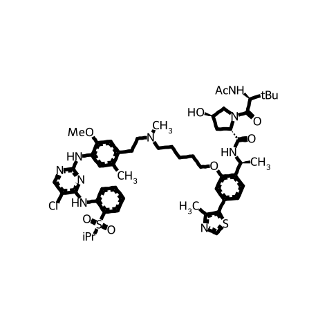 COc1cc(CCN(C)CCCCCOc2cc(-c3scnc3C)ccc2[C@H](C)NC(=O)[C@@H]2C[C@@H](O)CN2C(=O)[C@@H](NC(C)=O)C(C)(C)C)c(C)cc1Nc1ncc(Cl)c(Nc2ccccc2S(=O)(=O)C(C)C)n1